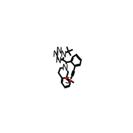 CC(C)(C)n1nnnc1C(c1ccccc1C#C[Si](C)(C)C)N1CCc2ccccc2C1